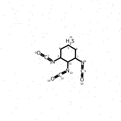 O=C=NC1CCCC(N=C=O)C1N=C=O.S